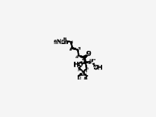 CCCCCCCCCCCCCC(=O)C(O)(C[N+](C)(C)C)[P-]O